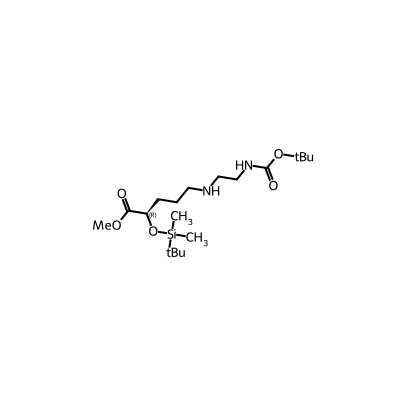 COC(=O)[C@@H](CCCNCCNC(=O)OC(C)(C)C)O[Si](C)(C)C(C)(C)C